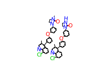 Cc1cnc2c(Cl)cccc2c1-c1cccc(Oc2cccc(N3CCN(C)C3=O)c2)c1.Cc1cnc2c(Cl)cccc2c1-c1cccc(Oc2cccc(N3CCNC3=O)c2)c1